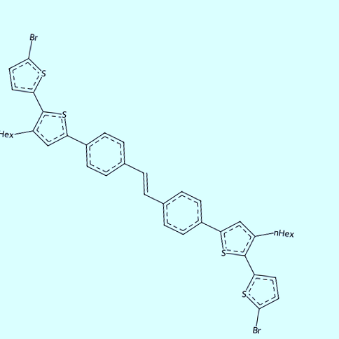 CCCCCCc1cc(-c2ccc(/C=C/c3ccc(-c4cc(CCCCCC)c(-c5ccc(Br)s5)s4)cc3)cc2)sc1-c1ccc(Br)s1